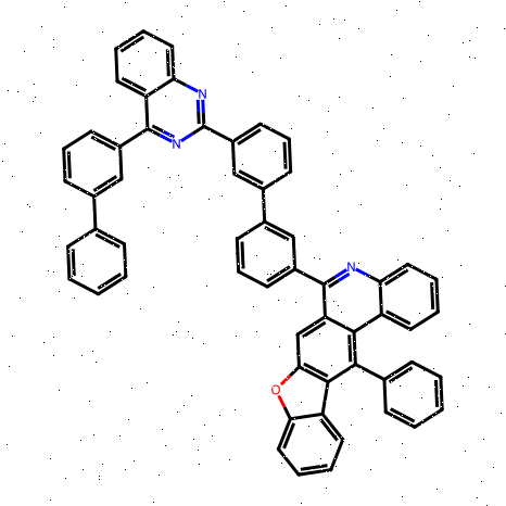 c1ccc(-c2cccc(-c3nc(-c4cccc(-c5cccc(-c6nc7ccccc7c7c(-c8ccccc8)c8c(cc67)oc6ccccc68)c5)c4)nc4ccccc34)c2)cc1